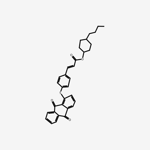 CCCCC1CCC(OC(=O)C=Cc2ccc(Sc3cccc4c3C(=O)c3ccccc3C4=O)cc2)CC1